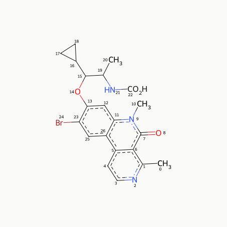 Cc1nccc2c1c(=O)n(C)c1cc(OC(C3CC3)C(C)NC(=O)O)c(Br)cc21